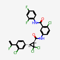 C=C(F)c1ccc([C@@H]2[C@@H](C(=O)Nc3ccc(Cl)c(C(=O)Nc4ccc(F)cc4F)c3)C2(Cl)Cl)cc1Cl